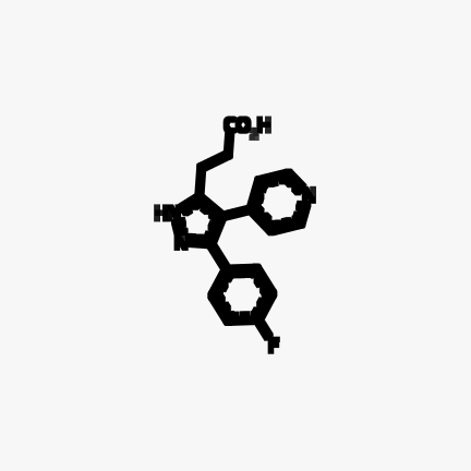 O=C(O)CCc1[nH]nc(-c2ccc(F)cc2)c1-c1ccncc1